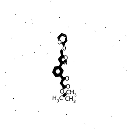 CC(C)(C)OC(=O)CC(=O)c1cccc(-c2cc(COC3CCCCO3)on2)c1